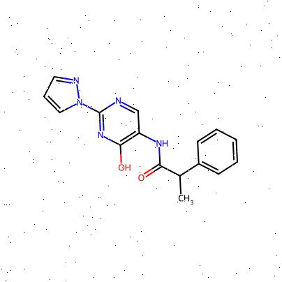 CC(C(=O)Nc1cnc(-n2cccn2)nc1O)c1ccccc1